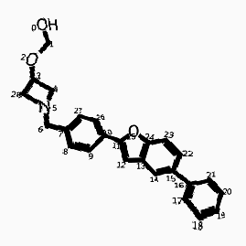 OCOC1CN(Cc2ccc(-c3cc4cc(-c5ccccc5)ccc4o3)cc2)C1